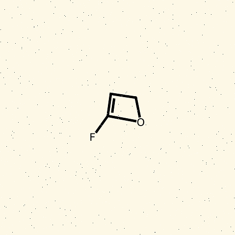 FC1=CCO1